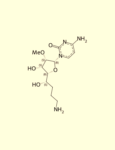 CO[C@H]1[C@@H](O)[C@@H]([C@@H](O)CCCN)O[C@H]1n1ccc(N)nc1=O